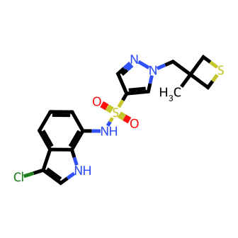 CC1(Cn2cc(S(=O)(=O)Nc3cccc4c(Cl)c[nH]c34)cn2)CSC1